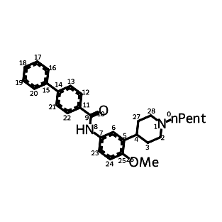 CCCCCN1CCC(c2cc(NC(=O)c3ccc(-c4ccccc4)cc3)ccc2OC)CC1